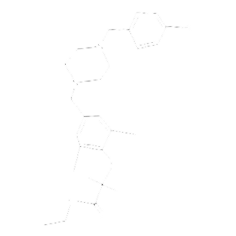 CCOC(=O)C(C)(C)Oc1c(C)cc(CN2CCN(Cc3ccc(Br)cc3)CC2)cc1C